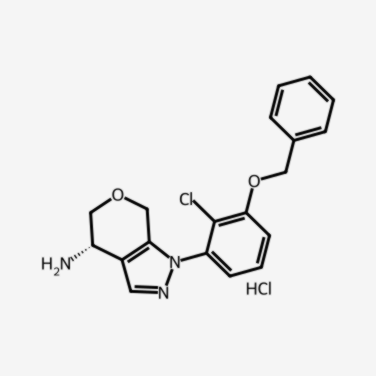 Cl.N[C@@H]1COCc2c1cnn2-c1cccc(OCc2ccccc2)c1Cl